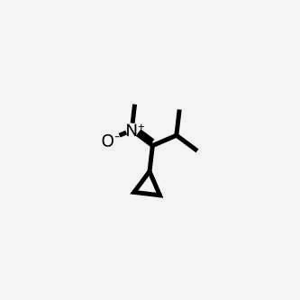 CC(C)C(C1CC1)=[N+](C)[O-]